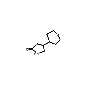 O=C1NCC(C2CCOCC2)O1